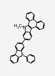 Cn1c2cc(-c3ccc4c5ccccc5p(-c5ccccc5)c4c3)ccc2c2c3ccccc3c3ccccc3c21